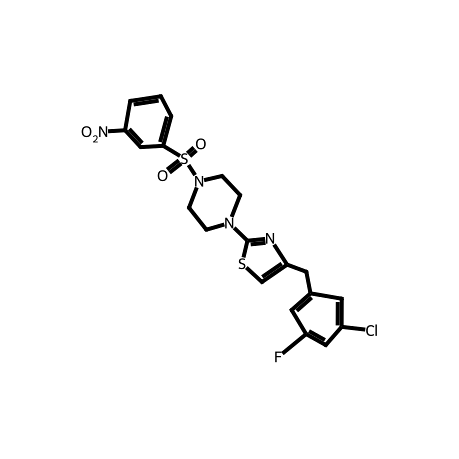 O=[N+]([O-])c1cccc(S(=O)(=O)N2CCN(c3nc(Cc4cc(F)cc(Cl)c4)cs3)CC2)c1